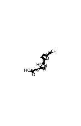 C#Cc1ccc(-c2nnc(SCC(=O)O)[nH]2)o1